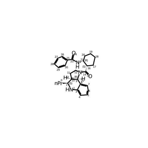 CCC[C@@H]1Nc2ccccc2[C@H]2[C@@H]1CCN2C(=O)[C@H]1CCCC[C@H]1NC(=O)c1ccccc1